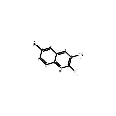 N#Cc1cc2cc(Br)ccc2nc1Cl